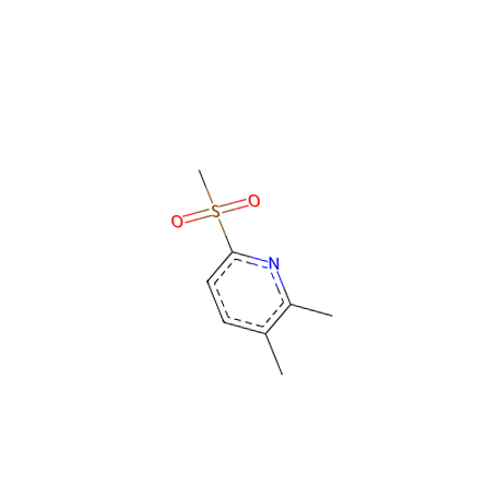 Cc1ccc(S(C)(=O)=O)nc1C